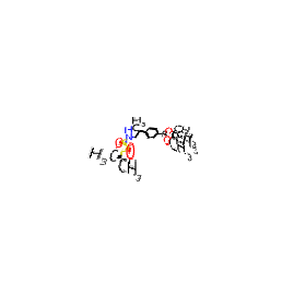 CC(CNS(=O)(=O)C(C)C)c1ccc(B2OC(C)(C)C(C)(C)O2)cc1